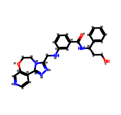 O=C(N[C@H](CCO)c1ccccc1)c1cccc(NCc2nnc3n2CCOc2cnccc2-3)c1